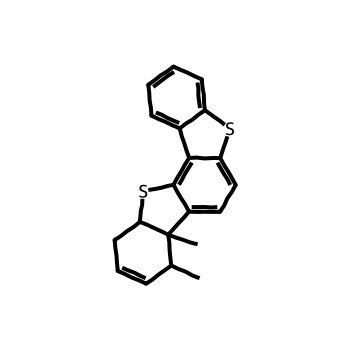 CC1C=CCC2Sc3c(ccc4sc5ccccc5c34)C12C